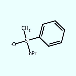 CCC[Si](C)([O])c1ccccc1